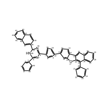 c1ccc(C2=NC(c3ccc(-c4ccc5c(c4)oc4c(-c6ccccc6)c6ccccc6cc45)cc3)=NC(c3ccc4ccccc4c3)N2)cc1